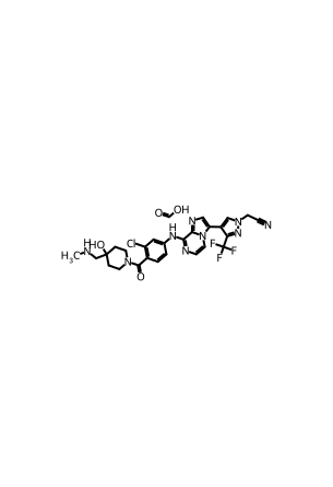 CNCC1(O)CCN(C(=O)c2ccc(Nc3nccn4c(-c5cn(CC#N)nc5C(F)(F)F)cnc34)cc2Cl)CC1.O=CO